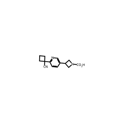 N#CC1(c2ccc(C3CN(C(=O)O)C3)cn2)CCC1